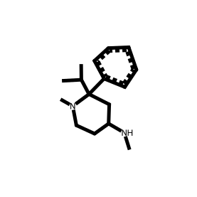 CNC1CCN(C)C(c2ccccc2)(C(C)C)C1